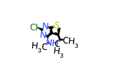 CNc1nc(Cl)nc2scc(C(C)C)c12